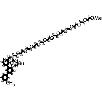 COCCOCCOCCOCCOCCOCCOCCOCCOCCOCCOCCOCCN(Cc1cc(-c2cc(-c3cccc(C)c3)ccc2O)ccn1)C(=O)OC(C)(C)C